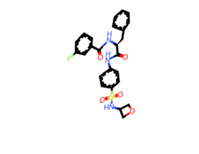 O=C(N[C@@H](Cc1ccccc1)C(=O)Nc1ccc(S(=O)(=O)NC2COC2)cc1)c1cccc(F)c1